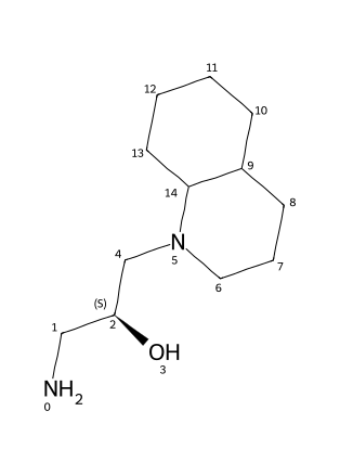 NC[C@H](O)CN1CCCC2CCCCC21